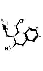 C#CCN(CCCl)C(C)Cc1ccccc1